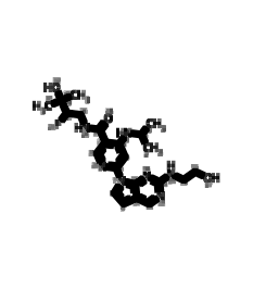 CC(C)Nc1cc(-n2ccc3cnc(NCCO)nc32)ncc1C(=O)NCC(F)C(C)(C)O